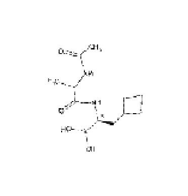 CC(=O)NC(C)C(=O)N[C@@H](CC1CCC1)B(O)O